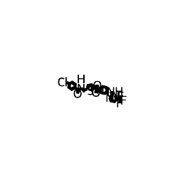 O=C(NCc1ccc(S(=O)(=O)N2CCC(Nc3nccc(C(F)(F)F)n3)CC2)s1)c1ccc(Cl)cc1